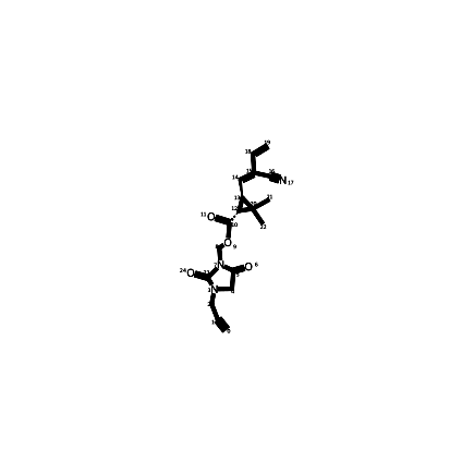 C#CCN1CC(=O)N(COC(=O)[C@@H]2[C@@H](/C=C(\C#N)C=C)C2(C)C)C1=O